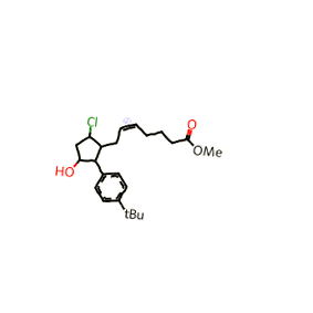 COC(=O)CCC/C=C\CC1C(Cl)CC(O)C1c1ccc(C(C)(C)C)cc1